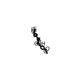 CCOC(=O)C1CCC(CNC(=O)c2cc(-c3ccc(OC(F)(F)F)cc3)cs2)CC1